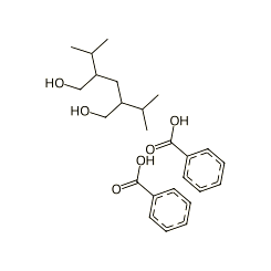 CC(C)C(CO)CC(CO)C(C)C.O=C(O)c1ccccc1.O=C(O)c1ccccc1